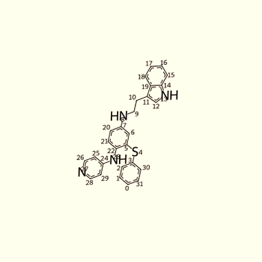 c1ccc(Sc2cc(NCCc3c[nH]c4ccccc34)ccc2Nc2ccncc2)cc1